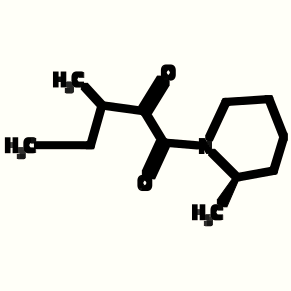 CCC(C)C(=O)C(=O)N1CCCC[C@H]1C